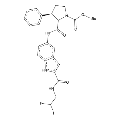 CC(C)(C)OC(=O)N1CC[C@H](c2ccccc2)C1C(=O)Nc1ccc2[nH]c(C(=O)NCC(F)F)cc2c1